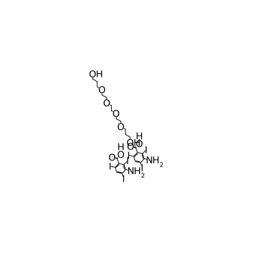 Nc1c(I)cc(I)c(C(=O)O)c1I.Nc1c(I)cc(I)c(C(=O)O)c1I.OCCCOCCOCCOCCOCCCO